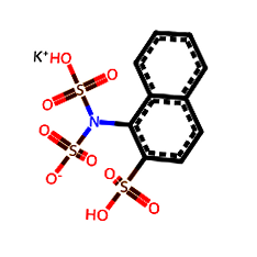 O=S(=O)(O)c1ccc2ccccc2c1N(S(=O)(=O)[O-])S(=O)(=O)O.[K+]